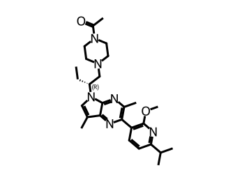 CC[C@H](CN1CCN(C(C)=O)CC1)n1cc(C)c2nc(-c3ccc(C(C)C)nc3OC)c(C)nc21